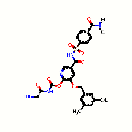 CCN(CC)C(=O)c1ccc(S(=O)(=O)NC(=O)c2cnc(OC(=O)NC(=O)CN)c(OCc3cc(C)cc(C)c3)c2)cc1